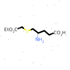 CCOC(=O)CSC[C@@H](N)CCC(=O)O